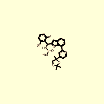 CC1(C)OCC(C)(c2ccnc(-c3cccc4cc(C(N[S+]([O-])C(C)(C)C)c5c(F)cccc5Br)sc34)c2)O1